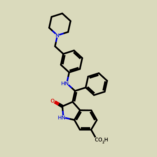 O=C1Nc2cc(C(=O)O)ccc2/C1=C(/Nc1cccc(CN2CCCCC2)c1)c1ccccc1